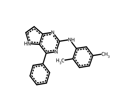 Cc1ccc(C)c(Nc2nc(-c3ccccc3)c3[nH]ccc3n2)c1